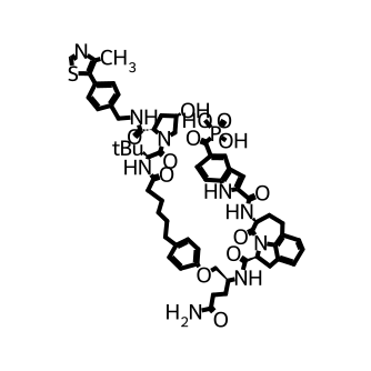 Cc1ncsc1-c1ccc(CNC(=O)[C@@H]2C[C@@H](O)CN2C(=O)[C@@H](NC(=O)CCCCCc2ccc(OC[C@H](CCC(N)=O)NC(=O)[C@@H]3Cc4cccc5c4N3C(=O)[C@@H](NC(=O)c3cc4cc(C(=O)P(=O)(O)O)ccc4[nH]3)CC5)cc2)C(C)(C)C)cc1